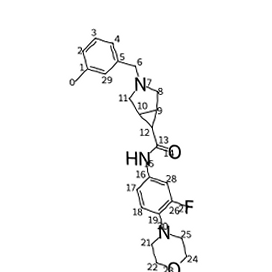 Cc1cccc(CN2CC3C(C2)C3C(=O)Nc2ccc(N3CCOCC3)c(F)c2)c1